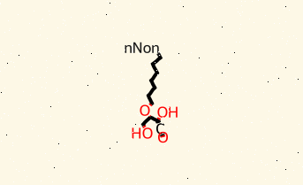 CCCCCCCCCCCCCCCCOC(CO)C(O)=C=O